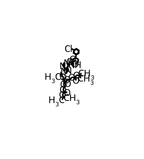 CC(C)OC(=O)OCOP(=O)(CO[C@H](C)Cn1cnc2c(NP3(=O)OCCC(c4cccc(Cl)c4)O3)ncnc21)OCOC(=O)OC(C)C